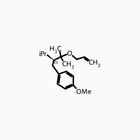 C=CCOC(C)(C)[C@@H](Cc1ccc(OC)cc1)C(C)C